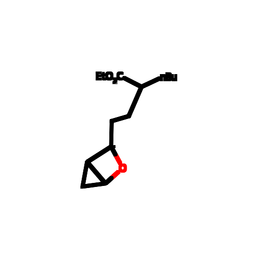 [CH2]CCCC(CC[C]1OC2CC12)C(=O)OCC